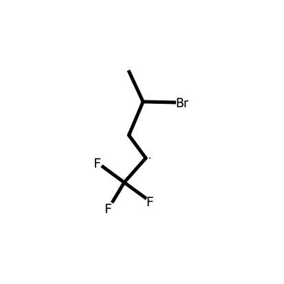 CC(Br)C[CH]C(F)(F)F